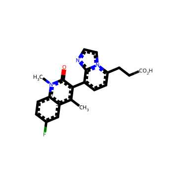 Cc1c(-c2ccc(CCC(=O)O)n3ccnc23)c(=O)n(C)c2ccc(F)cc12